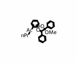 CC(=O)c1ccccc1.CCCC.COC(OC)(C(=O)c1ccccc1)c1ccccc1